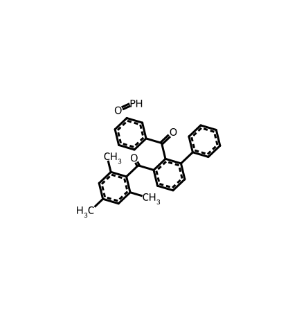 Cc1cc(C)c(C(=O)c2cccc(-c3ccccc3)c2C(=O)c2ccccc2)c(C)c1.O=P